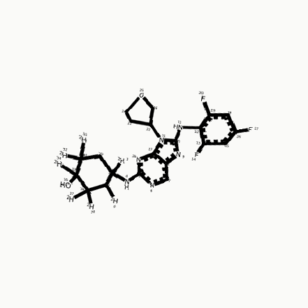 [2H]C1C([2H])(Nc2ncc3nc(Nc4c(F)cc(F)cc4F)n(C4CCOC4)c3n2)CC([2H])([2H])C([2H])(O)C1([2H])[2H]